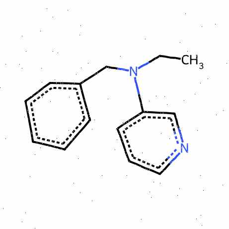 CCN(Cc1ccccc1)c1cccnc1